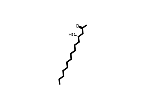 CCCCCCCCCCC[C@H](O)CC(C)=O